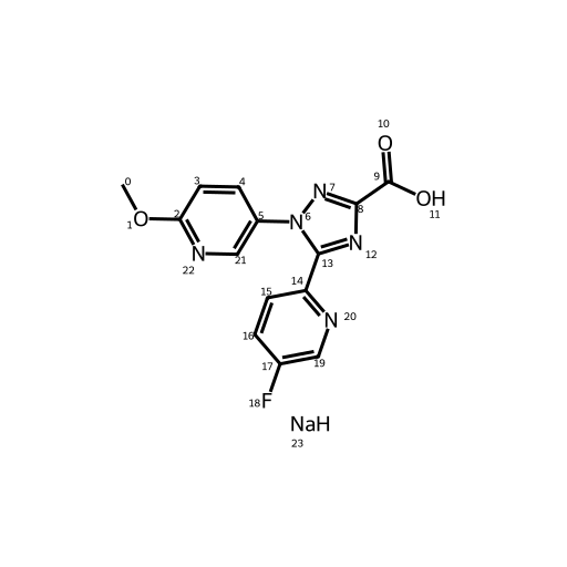 COc1ccc(-n2nc(C(=O)O)nc2-c2ccc(F)cn2)cn1.[NaH]